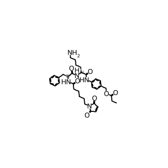 CCC(=O)OCc1ccc(NC(=O)[C@H](CCCCN)NC(=O)[C@H](Cc2ccccc2)NC(=O)CCCCCN2C(=O)C=CC2=O)cc1